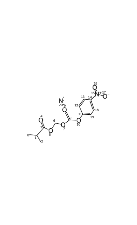 CC(C)C(=O)OCOC(=O)Oc1ccc([N+](=O)[O-])cc1.[N]